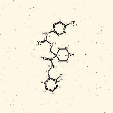 O=C(Nc1ccc(C(F)(F)F)cc1)OCC1(C(=O)NCc2ccccc2Cl)CCNCC1